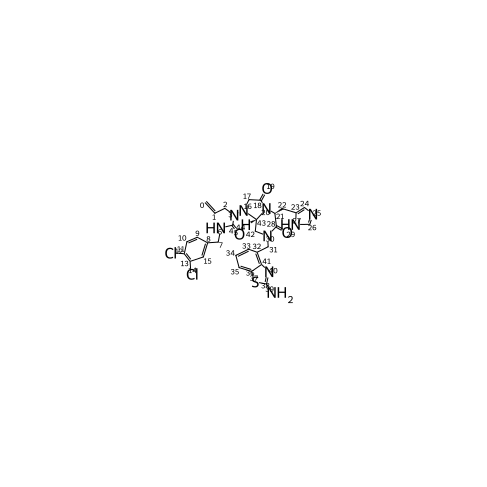 C=CCN(C(=O)NCc1ccc(Cl)c(Cl)c1)N1CC(=O)N2[C@@H](Cc3cnc[nH]3)C(=O)N(Cc3cccc4sc(N)nc34)C[C@@H]21